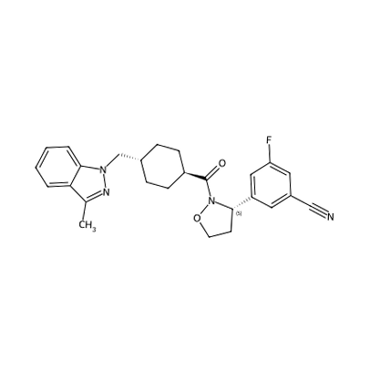 Cc1nn(C[C@H]2CC[C@H](C(=O)N3OCC[C@H]3c3cc(F)cc(C#N)c3)CC2)c2ccccc12